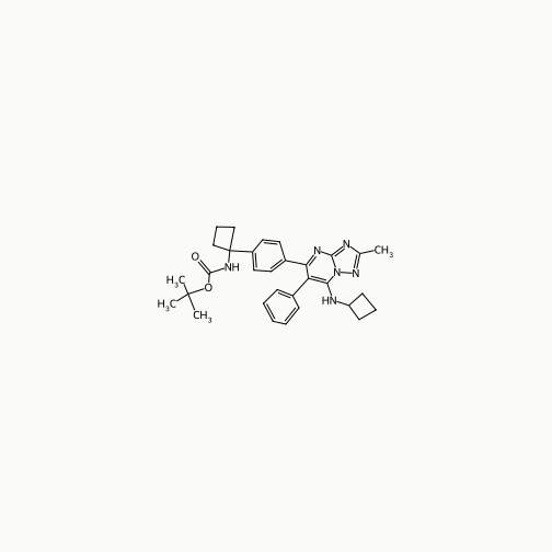 Cc1nc2nc(-c3ccc(C4(NC(=O)OC(C)(C)C)CCC4)cc3)c(-c3ccccc3)c(NC3CCC3)n2n1